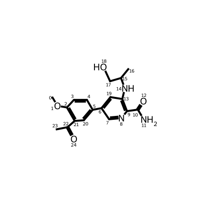 COc1ccc(-c2cnc(C(N)=O)c(NC(C)CO)c2)cc1C(C)=O